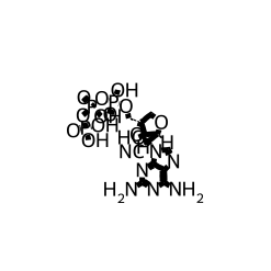 N#C[C@@]1(n2cnc3c(N)nc(N)nc32)O[C@@]2(COP(=O)(O)OP(=O)(O)OP(=O)(O)O)CO[C@@H]1[C@@H]2O